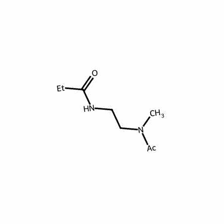 CCC(=O)NCCN(C)C(C)=O